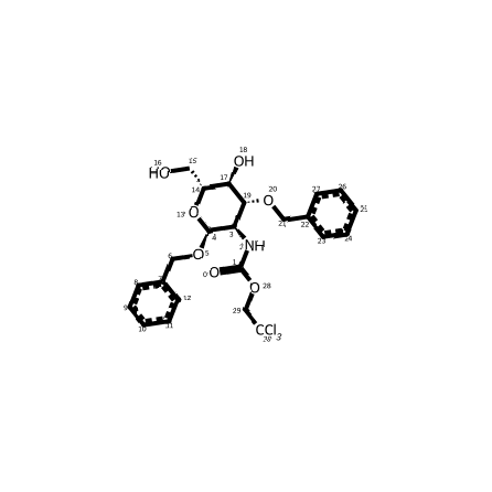 O=C(N[C@H]1[C@@H](OCc2ccccc2)O[C@H](CO)[C@@H](O)[C@@H]1OCc1ccccc1)OCC(Cl)(Cl)Cl